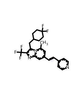 Cc1cc(/C=C/c2ccncc2)cc2nc(C(F)(F)F)c(CC3CCC(F)(F)CC3)n12